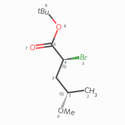 CO[C@@H](C)C[C@H](Br)C(=O)OC(C)(C)C